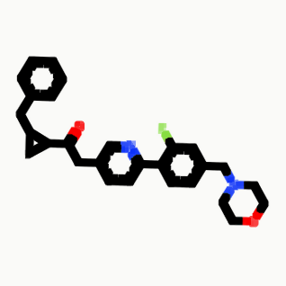 O=C(Cc1ccc(-c2ccc(CN3CCOCC3)cc2F)nc1)C1CC1Cc1ccccc1